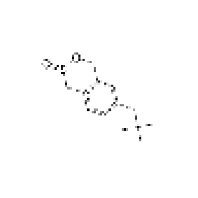 CC(C)(C)Cc1ccc2c(c1)COS(=O)C2